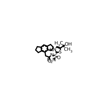 CC(C)(O)C1=CN[C@@H](S(N)(=O)=NC(=O)Cc2c3c(cc4c2CCC4)CCC3)S1